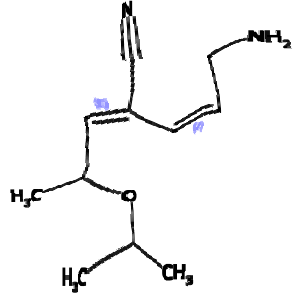 CC(C)OC(C)/C=C(C#N)\C=C/CN